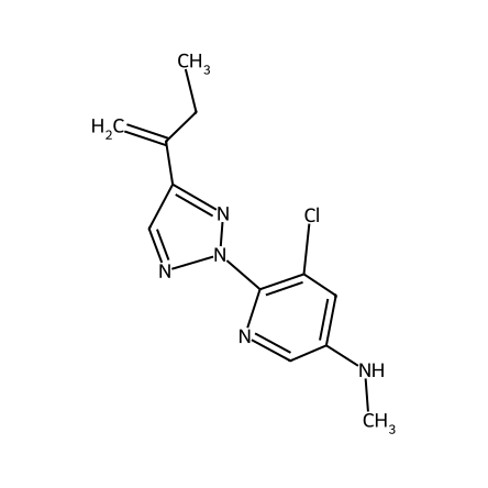 C=C(CC)c1cnn(-c2ncc(NC)cc2Cl)n1